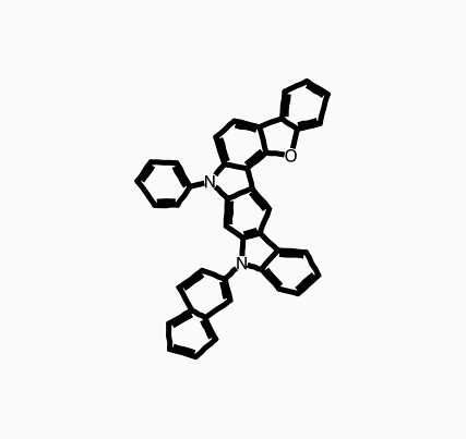 c1ccc(-n2c3cc4c(cc3c3c5oc6ccccc6c5ccc32)c2ccccc2n4-c2ccc3ccccc3c2)cc1